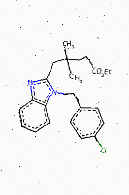 CCOC(=O)CC(C)(C)Cc1nc2ccccc2n1Cc1ccc(Cl)cc1